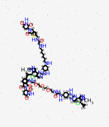 Cn1ncc(-c2nc(N[C@H]3CC[C@H](NCC(=O)NCCOCCOCCOCCNc4c(C5CC5Cc5c(-c6nc(N[C@H]7CC[C@H](NCCCCCCCNCC(=O)NCc8cc9c(s8)C(=O)N(C8CCC(=O)NC8=O)C9)CC7)ncc6Cl)cnn5C)ccc5c4C(=O)N(C4CCC(=O)NC4=O)C5=O)CC3)ncc2Cl)c1CC1CC1